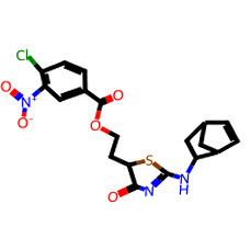 O=C(OCCC1SC(NC2CC3C=CC2C3)=NC1=O)c1ccc(Cl)c([N+](=O)[O-])c1